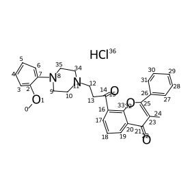 COc1ccccc1N1CCN(CCC(=O)c2cccc3c(=O)c(C)c(-c4ccccc4)oc23)CC1.Cl